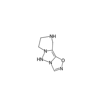 C1=NOC2=C3CNCCN3NN12